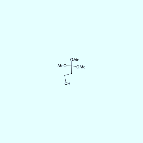 COC(CCO)(OC)OC